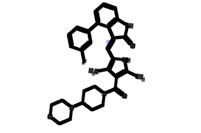 Cc1[nH]c(/C=C2\C(=O)Nc3cccc(-c4cccc(F)c4)c32)c(C)c1C(=O)N1CCC(N2CCOCC2)CC1